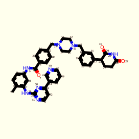 Cc1ccc(NC(=O)c2ccc(CN3CCN(Cc4cccc(C5CCC(=O)NC5=O)c4)CC3)cc2)cc1Nc1nccc(-c2cccnc2)n1